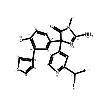 CN1C(=O)C(c2ccnc(C(F)F)c2)(c2ccc(O)c(-c3ccsc3)c2)N=C1N